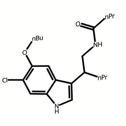 CCCCOc1cc2c(C(CCC)CNC(=O)CCC)c[nH]c2cc1Cl